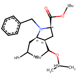 CCCC(C[C@@H]1[C@H](C(O[SiH](C)C)C(C)(C)C)C[C@H](C(=O)OC(C)(C)C)N1Cc1ccccc1)C(C)=O